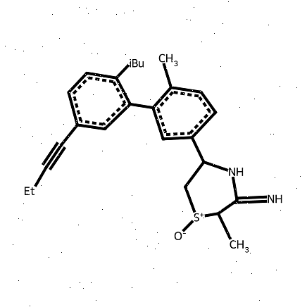 CCC#Cc1ccc(C(C)CC)c(-c2cc(C3C[S+]([O-])C(C)C(=N)N3)ccc2C)c1